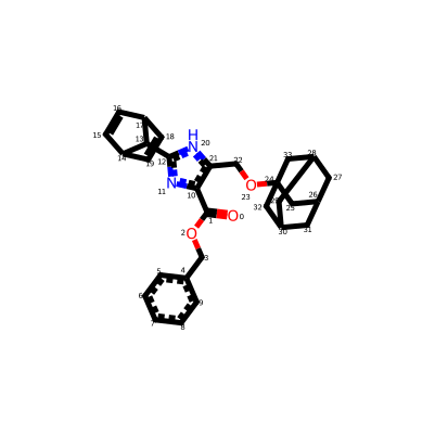 O=C(OCc1ccccc1)c1nc(C2C3C=CC2C=C3)[nH]c1COC12CC3CC(CC(C3)C1)C2